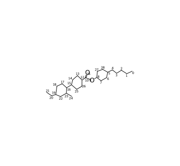 CCCCCC1CCC(OC(=O)C2CCC(C3CCC(CC)CC3C)CC2)CC1